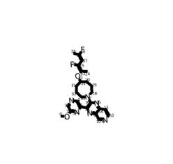 COc1cncc(-c2nc3cnccc3nc2N2CCCC(O/C(C)=C(F)/C=C(\C)F)CCC2)n1